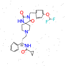 O=C(N[C@@H](CCN1CCC2(CC1)NC(=O)N(Cc1ccc(OC(F)F)cc1)C2=O)c1ccccc1)C1CC1